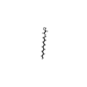 CCCCCCCCCCSC[C]=O